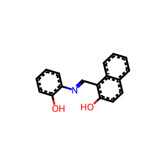 Oc1ccccc1/N=C/c1c(O)ccc2ccccc12